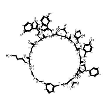 NCCCC[C@@H]1NCCCSCc2cccc(c2)CSC[C@@H](C(N)=O)NC(=O)[C@@H]2C[C@H](c3ccccc3)CN2C(=O)[C@H](Cc2ccc(O)cc2)NC(=O)[C@H](Cc2cnc[nH]2)NC(=O)[C@H](CC(=O)O)NC(=O)[C@H](Cc2c[nH]c3ccc(F)cc23)NC(=O)[C@H](CCc2c[nH]c3ccc(F)cc23)NC(=O)CNC1=O